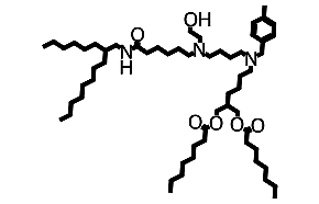 CCCCCCCCC(CCCCCC)CNC(=O)CCCCCN(CCO)CCCCN(CCCCC(COC(=O)CCCCCCC)COC(=O)CCCCCCC)Cc1ccc(C)cc1